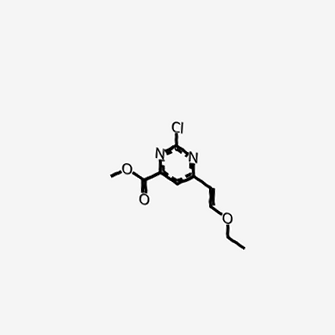 CCOC=Cc1cc(C(=O)OC)nc(Cl)n1